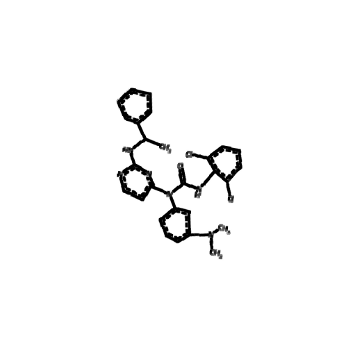 CC(Nc1nccc(N(C(=O)Nc2c(Cl)cccc2Cl)c2cccc(N(C)C)c2)n1)c1ccccc1